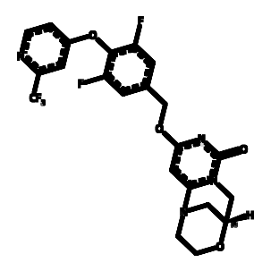 O=c1nc(OCc2cc(F)c(Oc3ccnc(C(F)(F)F)c3)c(F)c2)cc2n1C[C@H]1CN2CCO1